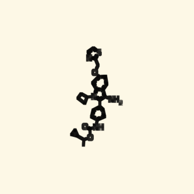 CC(OC(=O)Nc1ccc(-c2c(N)c3ccc(OCc4nccs4)cc3n2C2CCC2)cc1)C1CC1